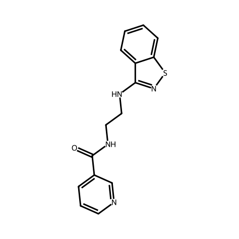 O=C(NCCNc1nsc2ccccc12)c1cccnc1